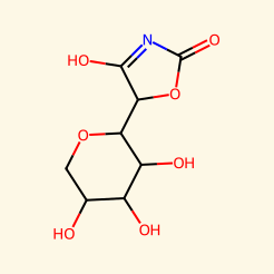 O=C1N=C(O)C(C2OCC(O)C(O)C2O)O1